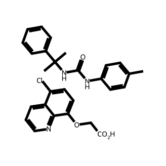 Cc1ccc(NC(=O)NC(C)(C)c2ccccc2)cc1.O=C(O)COc1ccc(Cl)c2cccnc12